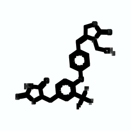 CCN1C(=O)OCC1=Cc1ccc(Oc2ccc(CC3SC(=S)NC3=O)cc2C(F)(F)F)cc1